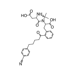 CC(C)(C)N(C(=O)C(N)CC(=O)O)C(Cc1ccccc1C(=O)CCCCc1ccc(C#N)cc1)C(=O)O